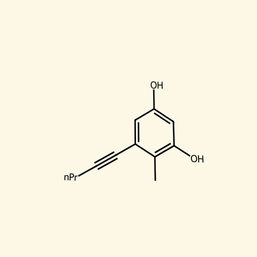 CCCC#Cc1cc(O)cc(O)c1C